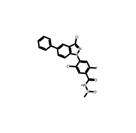 C[S+]([O-])NC(=O)c1cc(Cl)c(-n2nc(Cl)c3cc(-c4ccccc4)ccc32)cc1F